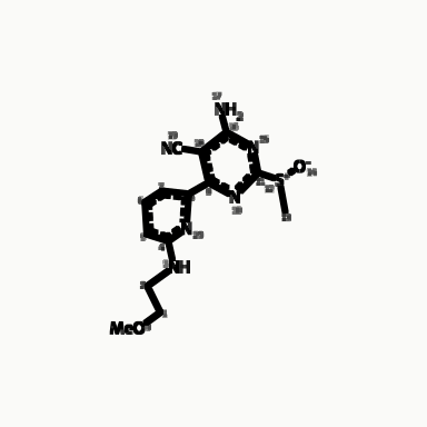 COCCNc1cccc(-c2nc([S+](C)[O-])nc(N)c2C#N)n1